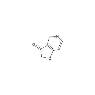 O=C1COc2ccncc21